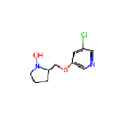 ON1CCCC1COc1cncc(Cl)c1